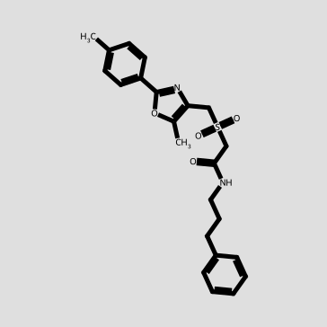 Cc1ccc(-c2nc(CS(=O)(=O)CC(=O)NCCCc3ccccc3)c(C)o2)cc1